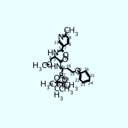 COCC(NC(=O)c1ccc(C)nc1)C(=O)N[C@@H](CCOc1ccccc1)B1OC(C)(C)C(C)(C)O1